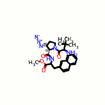 COC(=O)C(Cc1ccc2ccccc2c1)NC(=O)[C@@H]1[C@H](N=[N+]=[N-])CCN1C(=O)C(N)C(C)(C)C